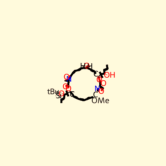 C/C=C/[C@H](O[Si](C)(C)C(C)(C)C)C(C)(C)[C@@H]1C\C=C/C=C\C=C\[C@H](OC)Cc2nc(co2)C(=O)O[C@H](C(C)(C)[C@@H](O)/C=C/C)C/C=C\[C@H]2O[C@H]2/C=C/C=C\c2nc(co2)C(=O)O1